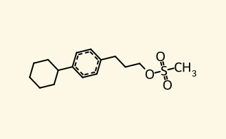 CS(=O)(=O)OCCCc1ccc(C2CCCCC2)cc1